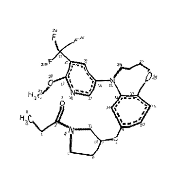 CCC(=O)N1CC[C@H](Oc2ccc3c(c2)N(c2cnc(OC)c(C(F)(F)F)c2)CCO3)C1